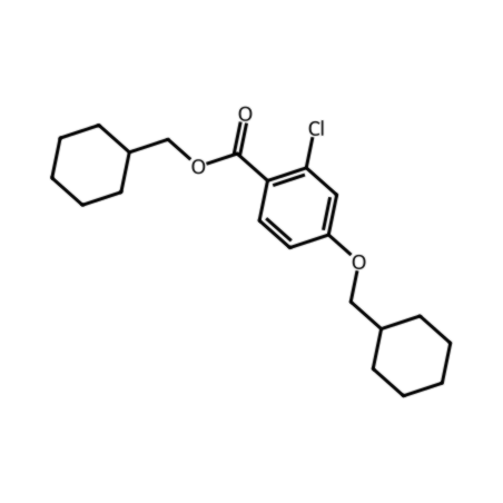 O=C(OCC1CCCCC1)c1ccc(OCC2CCCCC2)cc1Cl